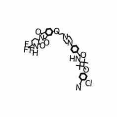 CC1(C)C(NC(=O)c2ccc(N3CCN(CCOc4ccc5c(c4)C(=O)N(C4CCC(C(F)(F)F)NC4=O)C5=O)CC3)cc2)C(C)(C)C1Oc1ccc(C#N)c(Cl)c1